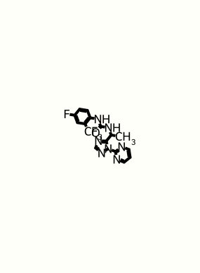 CC(NC(=O)Nc1ccc(F)cc1C(F)(F)F)c1ncnn1-c1ncccn1